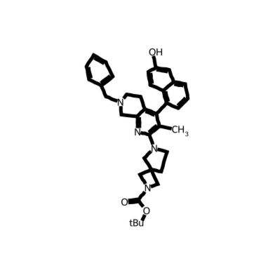 Cc1c(N2CCC3(CN(C(=O)OC(C)(C)C)C3)C2)nc2c(c1-c1cccc3cc(O)ccc13)CCN(Cc1ccccc1)C2